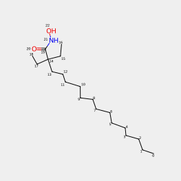 CCCCCCCCCCCCCCC(CC)(CC)C(=O)NO